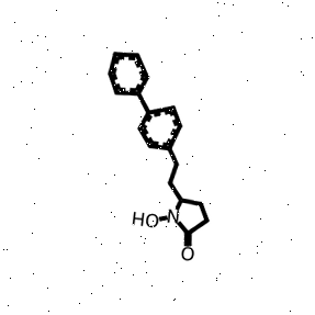 O=C1CCC(CCc2ccc(-c3ccccc3)cc2)N1O